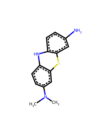 CN(C)c1ccc2c(c1)Sc1cc(N)ccc1N2